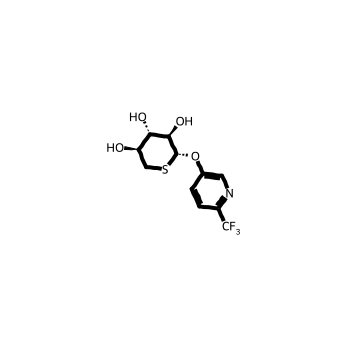 O[C@@H]1[C@@H](O)[C@H](Oc2ccc(C(F)(F)F)nc2)SC[C@H]1O